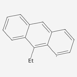 CCc1c2[c]cccc2cc2ccccc12